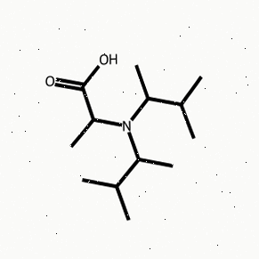 CC(C)C(C)N(C(C)C(=O)O)C(C)C(C)C